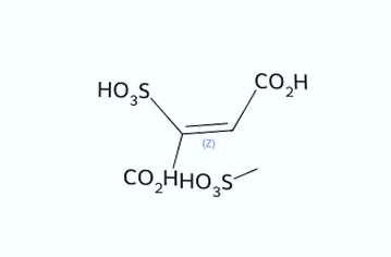 CS(=O)(=O)O.O=C(O)/C=C(/C(=O)O)S(=O)(=O)O